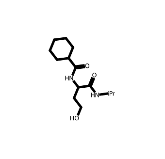 CC(C)NC(=O)C(CCO)NC(=O)C1CCCCC1